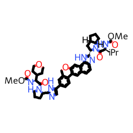 COC(=O)N[C@H](C(=O)N1[C@H](c2nc3ccc4cc5c(cc4c3[nH]2)OCc2cc(-c3cnc(C4CCCN4C(=O)[C@@H](NC(=O)OC)C4CCOCC4)[nH]3)ccc2-5)C[C@@H]2CCC[C@@H]21)C(C)C